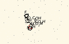 CC(C)(c1csc(-c2ccc(F)cc2)n1)N(C(=O)O)[C@@H]1CN2CCC1CC2.O=C(O)CC(O)C(=O)O